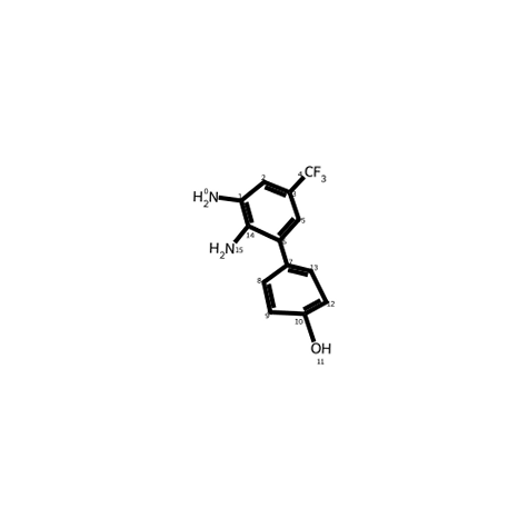 Nc1cc(C(F)(F)F)cc(-c2ccc(O)cc2)c1N